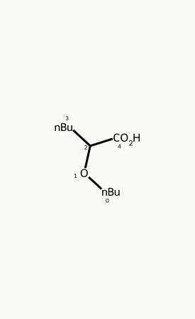 CCCCOC(CCCC)C(=O)O